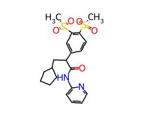 CS(=O)(=O)c1ccc(C(CC2CCCC2)C(=O)Nc2ccccn2)cc1S(C)(=O)=O